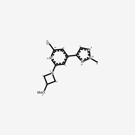 COC1CN(c2cc(-c3cnn(C)n3)cc(Cl)n2)C1